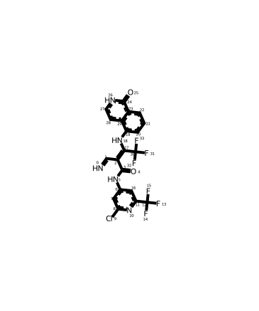 N=C/C(C(=O)Nc1cc(Cl)nc(C(F)(F)F)c1)=C(\Nc1cccc2c(=O)[nH]ccc12)C(F)(F)F